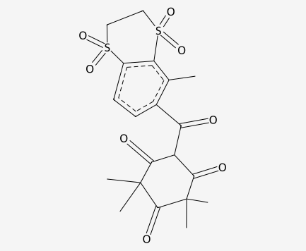 Cc1c(C(=O)C2C(=O)C(C)(C)C(=O)C(C)(C)C2=O)ccc2c1S(=O)(=O)CCS2(=O)=O